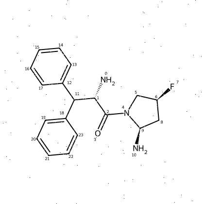 N[C@H](C(=O)N1C[C@@H](F)C[C@H]1N)C(c1ccccc1)c1ccccc1